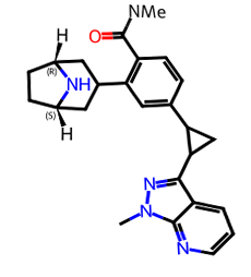 CNC(=O)c1ccc(C2CC2c2nn(C)c3ncccc23)cc1C1C[C@H]2CC[C@@H](C1)N2